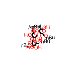 CCCCOCC1O[C@H](OC2C(O)[C@H](O[C@@H]3C(COCCCC)O[C@@H](O)C(NC(C)=O)C3O)OC(COCCCC)[C@@H]2O)C(OCCCC)C(O)[C@H]1O